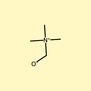 C[N+](C)(C)C[O-]